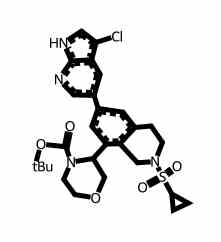 CC(C)(C)OC(=O)N1CCOCC1c1cc(-c2cnc3[nH]cc(Cl)c3c2)cc2c1CN(S(=O)(=O)C1CC1)CC2